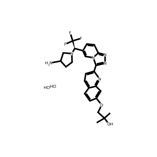 CC(C)(O)COc1ccc2ccc(-c3nnc4ccc([C@@H](N5CCC(N)C5)C(F)(F)F)cn34)nc2c1.Cl.Cl